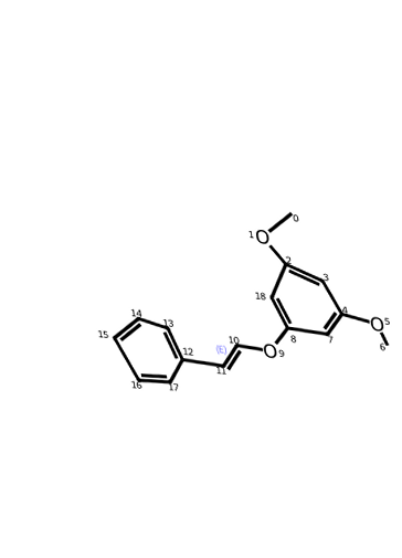 COc1cc(OC)cc(O/C=C/c2ccccc2)c1